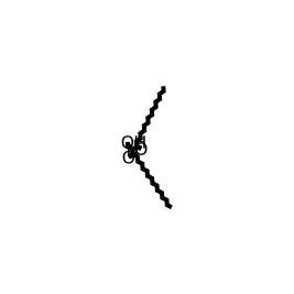 CCCCCCCCCCCCCCCC(=O)N(CO)C(=O)CCCCCCCCCCCCCCC